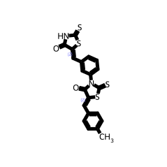 Cc1ccc(/C=C2\SC(=S)N(c3cccc(/C=C4\SC(=S)NC4=O)c3)C2=O)cc1